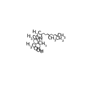 CC(C)=CCC/C(C)=C/CC/C(C)=C/CC[C@@H]1C2(C)CC[C@H](O)C(C)(C)C2CC[C@@]1(C)O